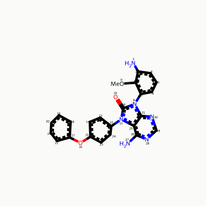 COc1c(N)cccc1-n1c(=O)n(-c2ccc(Oc3ccccc3)cc2)c2c(N)ncnc21